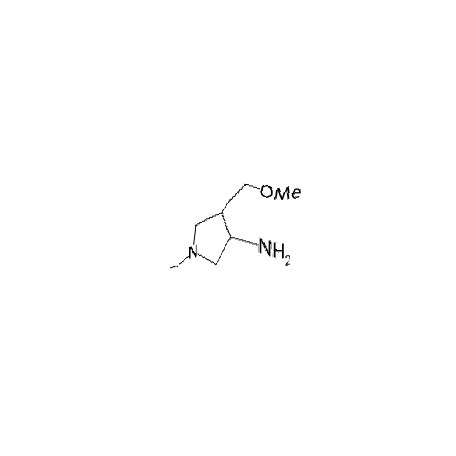 COCC1CN(C)CC1N